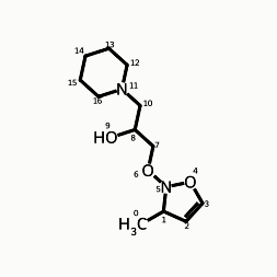 CC1C=CON1OCC(O)CN1CCCCC1